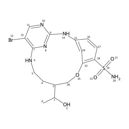 CC(O)C1CCNc2nc(ncc2Br)Nc2ccc(S(N)(=O)=O)c(c2)OC1